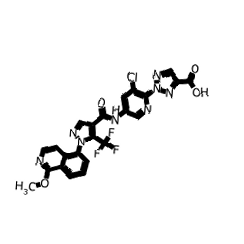 COc1nccc2c(-n3ncc(C(=O)Nc4cnc(-n5ncc(C(=O)O)n5)c(Cl)c4)c3C(F)(F)F)cccc12